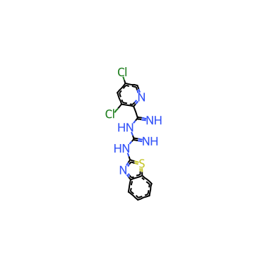 N=C(NC(=N)c1ncc(Cl)cc1Cl)Nc1nc2ccccc2s1